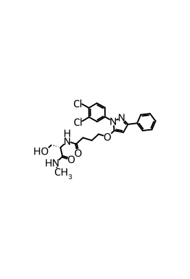 CNC(=O)[C@H](CO)NC(=O)CCCOc1cc(-c2ccccc2)nn1-c1ccc(Cl)c(Cl)c1